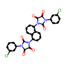 O=C1C(=O)N(c2cccc3c(N4C(=O)C(=O)N(c5cccc(Cl)c5)C4=O)cccc23)C(=O)N1c1cccc(Cl)c1